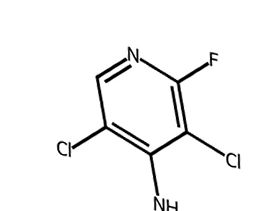 Nc1c(Cl)cnc(F)c1Cl